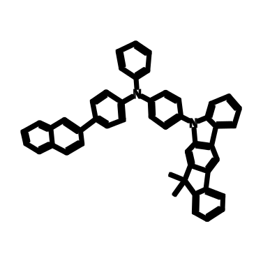 CC1(C)c2ccccc2-c2cc3c4ccccc4n(-c4ccc(N(c5ccccc5)c5ccc(-c6ccc7ccccc7c6)cc5)cc4)c3cc21